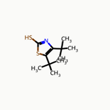 CC(C)(C)c1nc(S)sc1C(C)(C)C